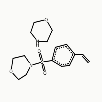 C1COCCN1.C=Cc1ccc(S(=O)(=O)N2CCOCC2)cc1